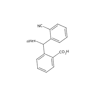 CCCCCCC(c1ccccc1C#N)c1ccccc1C(=O)O